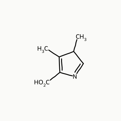 CC1=C(C(=O)O)N=CC1C